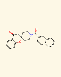 O=C1CC2(CCN(C(=O)c3ccc4ccccc4c3)CC2)Oc2ccccc21